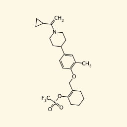 C=C(C1CC1)N1CCC(c2ccc(OCC3=C(OS(=O)(=O)C(F)(F)F)CCCC3)c(C)c2)CC1